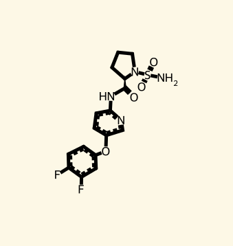 NS(=O)(=O)N1CCC[C@@H]1C(=O)Nc1ccc(Oc2ccc(F)c(F)c2)cn1